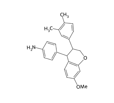 COc1ccc2c(c1)OCC(c1ccc(C)c(C)c1)C2c1ccc(N)cc1